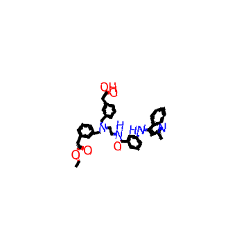 CCOC(=O)Cc1cccc(CN(CCNC(=O)c2cccc(Nc3cc(C)nc4ccccc34)c2)Cc2cccc(CC(=O)O)c2)c1